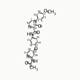 COc1ccc(-n2ccnc(C(=O)Nc3ccc(Oc4ccnc(NC(C)=O)c4)cc3)c2=O)cc1